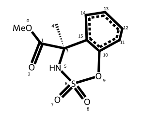 COC(=O)[C@]1(C)NS(=O)(=O)Oc2ccccc21